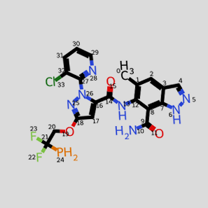 Cc1cc2cn[nH]c2c(C(N)=O)c1NC(=O)c1cc(OCC(F)(F)P)nn1-c1ncccc1Cl